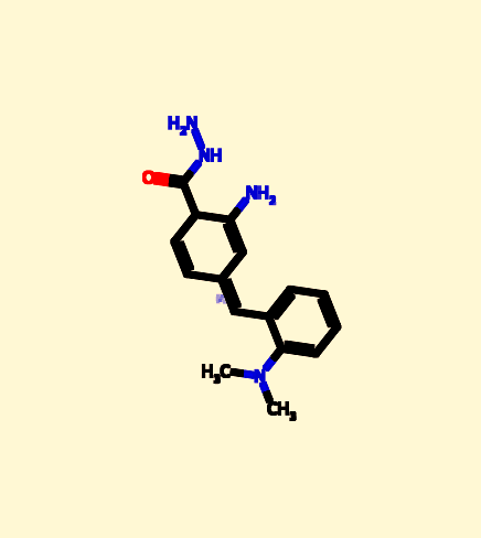 CN(C)c1ccccc1/C=C1/C=CC(C(=O)NN)C(N)=C1